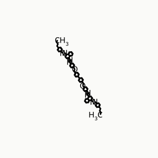 CCCCc1ccc(N=Nc2ccc(N=Nc3ccc(OCc4ccc(-c5ccc(COc6ccc(N=Nc7ccc(N=Nc8ccc(CCCC)cc8)c8ccccc78)cc6)cc5)cc4)cc3)c3ccccc23)cc1